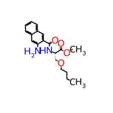 CCCCOC[C@H](NC(=O)c1cc2ccccc2cc1N)C(=O)OC